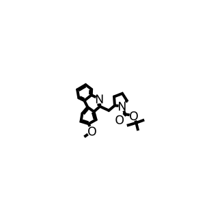 COc1ccc2c(c1)c(CC1CCCN1C(=O)OC(C)(C)C)nc1ccccc12